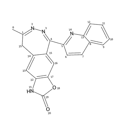 CC1=NN=C(c2ccc3ccccc3n2)c2cc3oc(=O)[nH]c3cc2C1